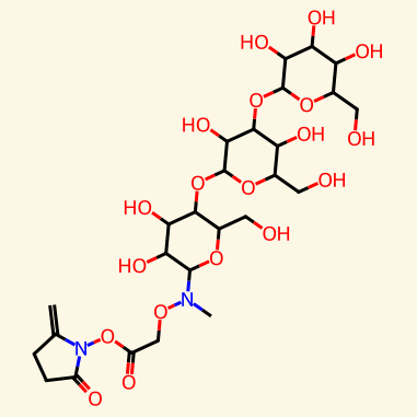 C=C1CCC(=O)N1OC(=O)CON(C)C1OC(CO)C(OC2OC(CO)C(O)C(OC3OC(CO)C(O)C(O)C3O)C2O)C(O)C1O